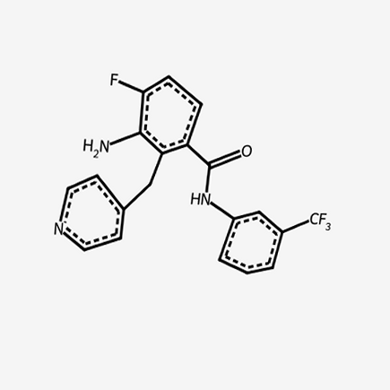 Nc1c(F)ccc(C(=O)Nc2cccc(C(F)(F)F)c2)c1Cc1ccncc1